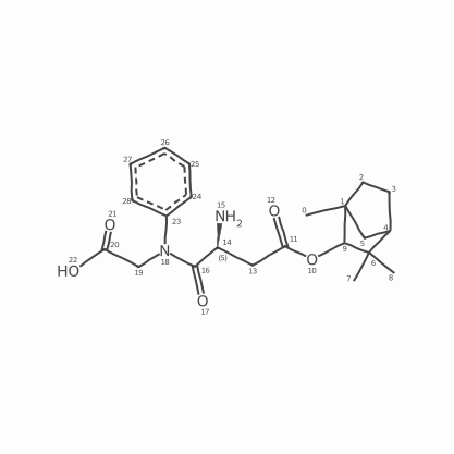 CC12CCC(C1)C(C)(C)C2OC(=O)C[C@H](N)C(=O)N(CC(=O)O)c1ccccc1